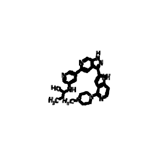 CCC(O)Nc1cncc(-c2cc3c(-c4cc5c(N6CCN(C)CC6)nccc5[nH]4)n[nH]c3cn2)c1